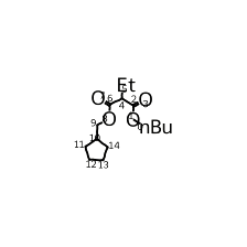 CCCCOC(=O)C(CC)C(=O)OCC1CCCC1